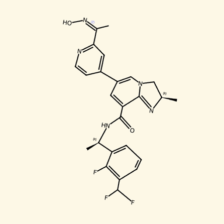 C/C(=N/O)c1cc(C2=CN3C[C@@H](C)N=C3C(C(=O)N[C@H](C)c3cccc(C(F)F)c3F)=C2)ccn1